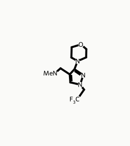 CNCc1cn(CC(F)(F)F)nc1N1CCOCC1